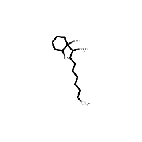 COC1CCCCC1(OC)C(CCCCCCCC(=O)O)C(=O)O